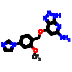 Nc1cc(OCc2ccc(-n3ccnc3)cc2OC(F)(F)F)c2nn[nH]c2n1